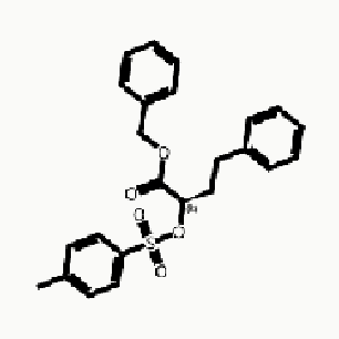 Cc1ccc(S(=O)(=O)O[C@H](CCc2ccccc2)C(=O)OCc2ccccc2)cc1